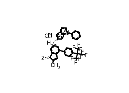 CC1=C2c3ccn(-c4ccccc4)c3C1[Si]2(C)C.CC1=Cc2c(-c3ccc(C(C(F)(F)F)(C(F)(F)F)C(F)(F)F)cc3)cccc2[CH]1[Zr+2].[Cl-].[Cl-]